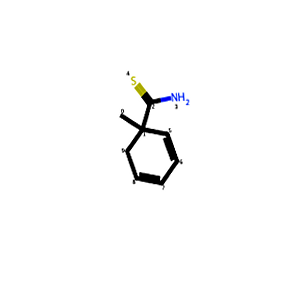 CC1(C(N)=S)C=CC=CC1